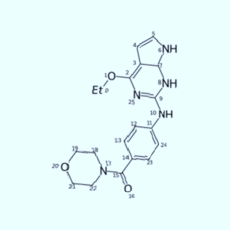 CCOC1=C2C=CNC2NC(Nc2ccc(C(=O)N3CCOCC3)cc2)=N1